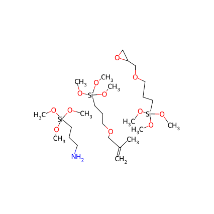 C=C(C)COCCC[Si](OC)(OC)OC.CO[Si](CCCN)(OC)OC.CO[Si](CCCOCC1CO1)(OC)OC